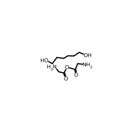 NCC(=O)OC(=O)CN.OCCCCCCO